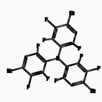 CCc1cc(F)c(B(c2c(F)cc(CC)c(F)c2F)c2c(F)cc(CC)c(F)c2F)c(F)c1F